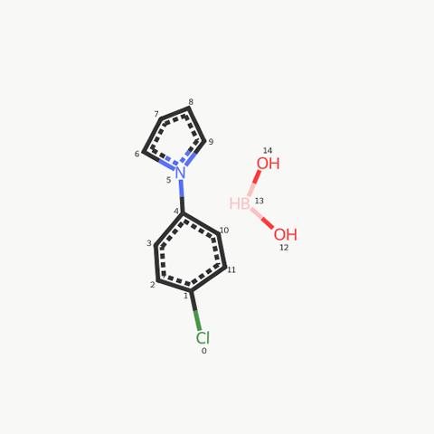 Clc1ccc(-n2cccc2)cc1.OBO